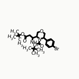 CC(C)(C)OC(=O)CC(N)C1COCC(c2ccc(Br)cc2)N1C(=O)OC(C)(C)C